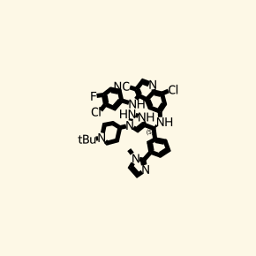 Cn1ccnc1-c1cccc([C@H](Nc2cc(Cl)c3ncc(C#N)c(Nc4ccc(F)c(Cl)c4)c3c2)C2=CN(C3CCN(C(C)(C)C)CC3)NN2)c1